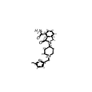 Cc1ccc(CN2CCC(N3Cc4cccc(C(N)=O)c4C3=O)CC2)s1